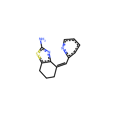 Nc1nc2c(s1)CCC/C2=C/c1ccccn1